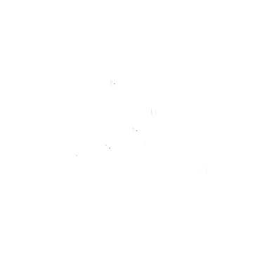 N#Cc1oc(C(F)(F)F)nc1NC(=O)c1cc(Cl)ccc1O